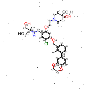 Cc1c(COc2cc(OCCN3CCC(O)(C(=O)O)CC3)c(CN[C@](C)(CO)C(=O)O)cc2Cl)cccc1-c1ccc2c(c1)OCCO2